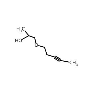 CC#CCCOCC(C)O